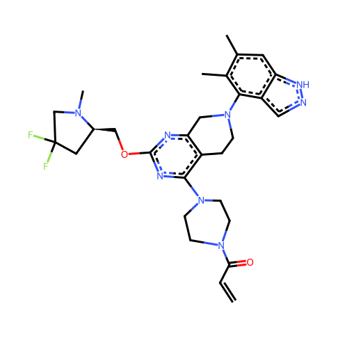 C=CC(=O)N1CCN(c2nc(OC[C@H]3CC(F)(F)CN3C)nc3c2CCN(c2c(C)c(C)cc4[nH]ncc24)C3)CC1